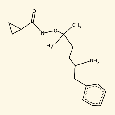 CC(C)(CCC(N)Cc1ccccc1)O[N]C(=O)C1CC1